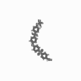 CCC(C)c1ccc(S(=O)(=O)c2ccc(Oc3ccc(C(C)(C)c4ccc(OC(C)(C)CC)cc4)cc3)cc2)cc1